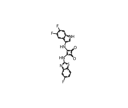 O=c1c(Nc2nc3cc(F)ccc3s2)c(Nc2c[nH]c3cc(F)c(F)cc23)c1=O